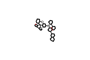 c1ccc(-c2ccccc2N(c2ccc(-c3ccc4ccccc4c3)cc2)c2ccc3c(c2)Oc2ccccc2C32c3ccccc3-c3ccccc32)cc1